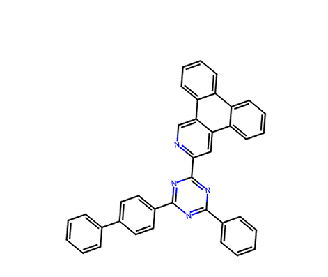 c1ccc(-c2ccc(-c3nc(-c4ccccc4)nc(-c4cc5c6ccccc6c6ccccc6c5cn4)n3)cc2)cc1